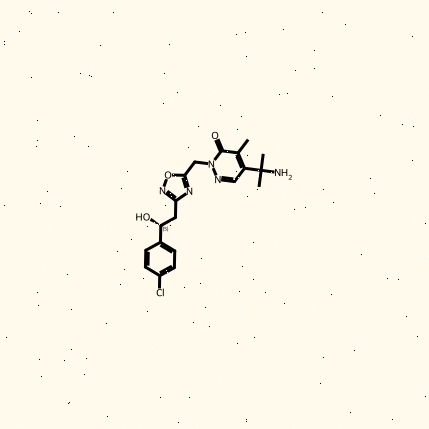 Cc1c(C(C)(C)N)cnn(Cc2nc(C[C@H](O)c3ccc(Cl)cc3)no2)c1=O